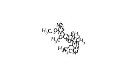 C=CCC(NC(=O)N(CC)[C@H](C)c1cc(-c2cn3ccnc3c(OCCC)n2)c(OC)cn1)c1nccnc1C